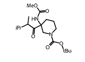 COC(=O)NC1(C(=O)C(C)C(C)C)CCCN(C(=O)OC(C)(C)C)C1